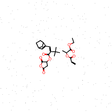 C=CC(=O)OC(C)C(=O)OCC.CC(C)(C)C(=CC1=CC2CCC1C2)C(=O)OC1CC(=O)OC1=O